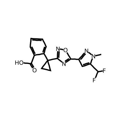 Cn1nc(-c2nc(C3(c4ccccc4C(=O)O)CC3)no2)cc1C(F)F